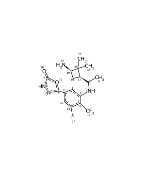 CC(Nc1cc(-c2n[nH]c(=O)o2)cc(F)c1C(F)(F)F)[C@H]1C[C@@H](N)C1(C)C